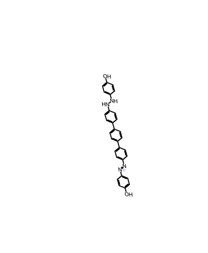 Oc1ccc(/N=N/c2ccc(-c3ccc(-c4ccc(NNc5ccc(O)cc5)cc4)cc3)cc2)cc1